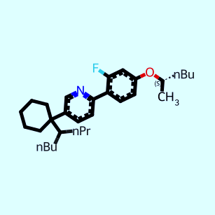 CCCCC(CCC)C1(c2ccc(-c3ccc(O[C@@H](C)CCCC)cc3F)nc2)CCCCC1